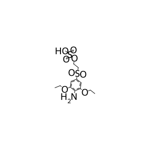 CCOc1cc(S(=O)(=O)CCOS(=O)(=O)O)cc(OCC)c1N